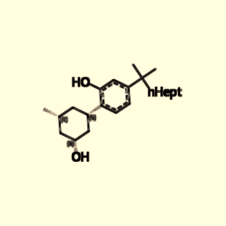 CCCCCCCC(C)(C)c1ccc([C@H]2C[C@@H](C)C[C@@H](O)C2)c(O)c1